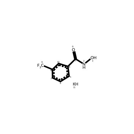 O=C(NO)c1cccc(C(F)(F)F)c1.[KH]